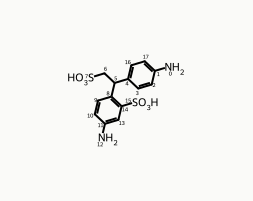 Nc1ccc(C(CS(=O)(=O)O)c2ccc(N)cc2S(=O)(=O)O)cc1